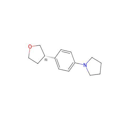 c1cc(N2CCCC2)ccc1[C@@H]1CCOC1